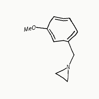 COc1cccc(CN2CC2)c1